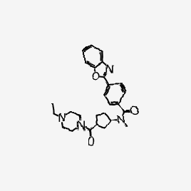 CCN1CCN(C(=O)[C@H]2CC[C@@H](N(C)C(=O)c3ccc(-c4nc5ccccc5o4)cc3)C2)CC1